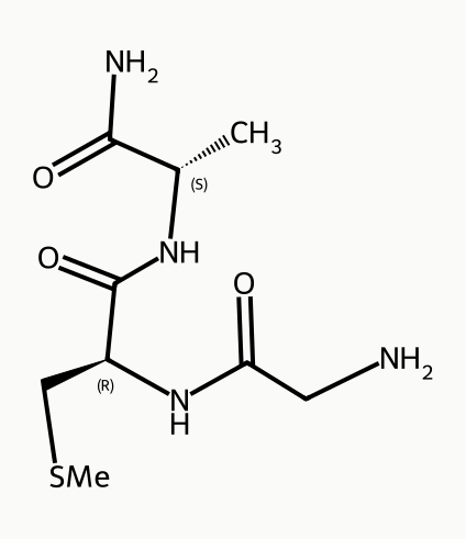 CSC[C@H](NC(=O)CN)C(=O)N[C@@H](C)C(N)=O